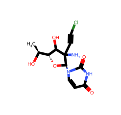 C[C@H](O)[C@H]1O[C@@H](n2ccc(=O)[nH]c2=O)C(N)(C#CCl)C1O